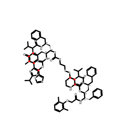 Cc1cccc(C)c1OCC(=O)N[C@@H](Cc1ccccc1)[C@H](C[C@H](CC1C=CC=CC1)NC(=O)C(C(C)C)N1CCCNC1=O)OC(=O)OCCSSCCOC(=O)O[C@@H](C[C@H](Cc1ccccc1)NC(=O)C(NC(=O)N(C)Cc1csc(C(C)C)n1)C(C)C)[C@H](Cc1ccccc1)NC(=O)OCc1cncs1